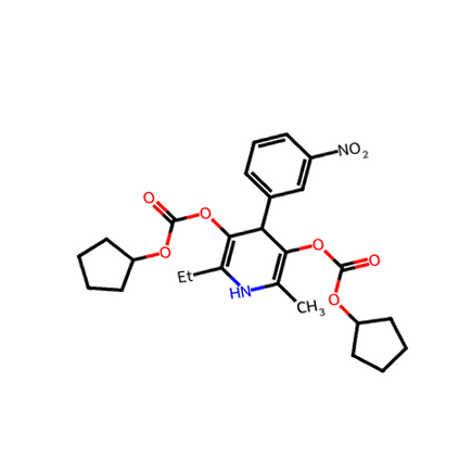 CCC1=C(OC(=O)OC2CCCC2)C(c2cccc([N+](=O)[O-])c2)C(OC(=O)OC2CCCC2)=C(C)N1